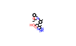 CC[C@@H]1CN(Cc2cc(C(CC(=O)O)c3cnc4c(nnn4C)c3C)ccc2C)Cc2ccccc2O1